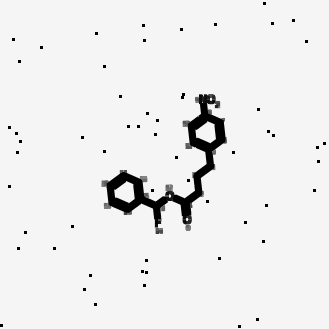 O=C(CCCc1ccc([N+](=O)[O-])cc1)OC(F)c1ccccc1